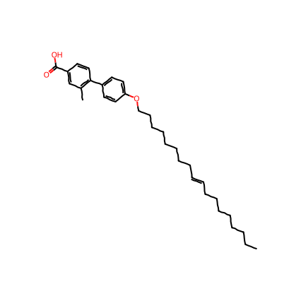 CCCCCCCCC=CCCCCCCCCOc1ccc(-c2ccc(C(=O)O)cc2C)cc1